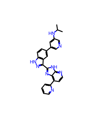 CC(C)Nc1cncc(-c2ccc3[nH]nc(-c4nc5c(-c6ccccn6)ccnc5[nH]4)c3c2)c1